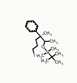 CC(O[Si](C)(C)C(C)(C)C)[C@@](C)(CCCI)c1ccccc1